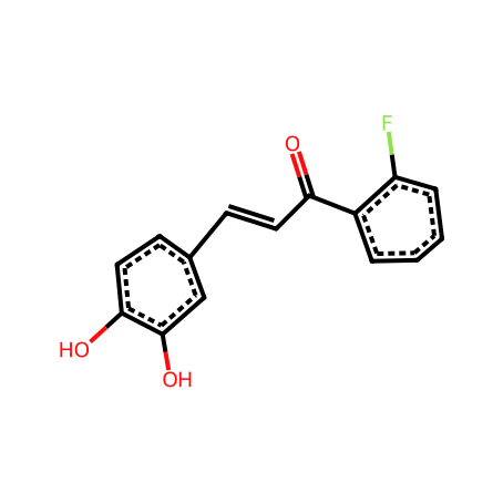 O=C(C=Cc1ccc(O)c(O)c1)c1ccccc1F